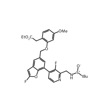 CCOC(=O)Cc1ccc(OC)cc1OCc1cc(-c2ccnc(CN[S+]([O-])C(C)(C)C)c2F)c2oc(F)cc2c1